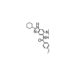 CCc1ccc(C(=O)Nc2cc3nc(C4CCCCC4)[nH]c3cc2N(C)C)cc1